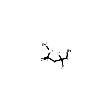 CC(C)CC(F)(F)CC(=O)OC(C)C